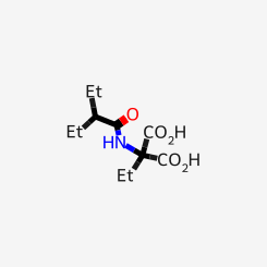 CCC(CC)C(=O)NC(CC)(C(=O)O)C(=O)O